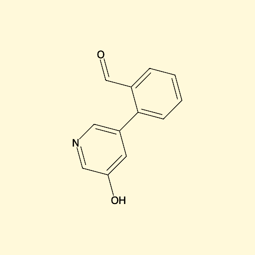 O=Cc1ccccc1-c1cncc(O)c1